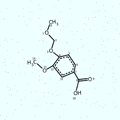 COCOc1ccc(C(=O)O)cc1OC